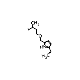 C=Cc1ccc(COCCC(=C)F)[nH]1